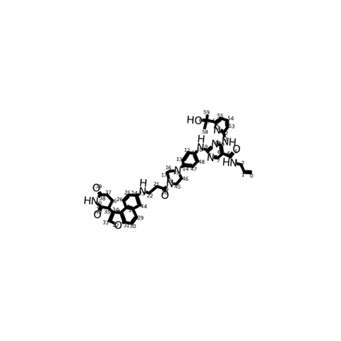 C=CCNC(=O)c1cnc(Nc2ccc(N3CCN(C(=O)CCNc4ccc5c(ccc6occ(C7CCC(=O)NC7=O)c65)c4)CC3)cc2)nc1Nc1cccc(C(C)(C)O)n1